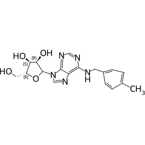 Cc1ccc(CNc2ncnc3c2ncn3C2O[C@H](CO)[C@@H](O)[C@H]2O)cc1